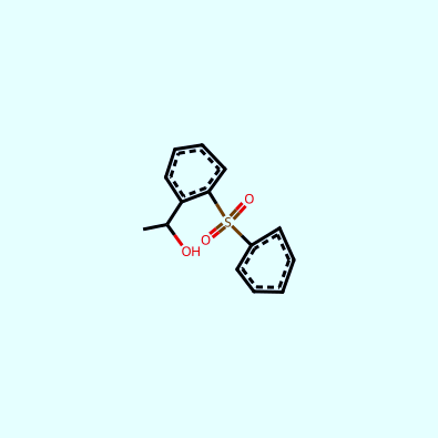 CC(O)c1ccccc1S(=O)(=O)c1ccccc1